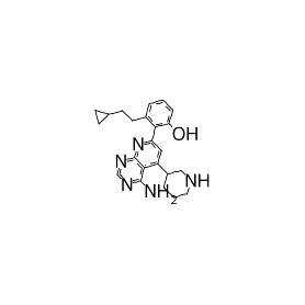 Nc1ncnc2nc(-c3c(O)cccc3CCC3CC3)cc(C3CCCNC3)c12